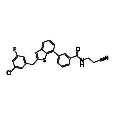 N#CCCNC(=O)c1cccc(-c2cccc3cc(Cc4cc(F)cc(Cl)c4)sc23)c1